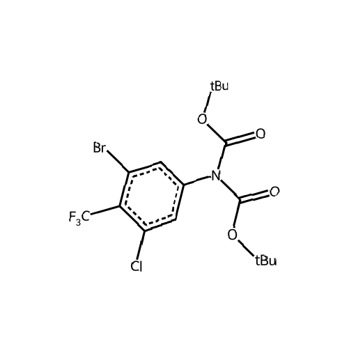 CC(C)(C)OC(=O)N(C(=O)OC(C)(C)C)c1cc(Cl)c(C(F)(F)F)c(Br)c1